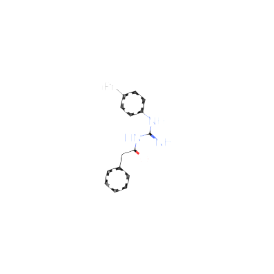 CC(C)c1ccc(NC(=N)NC(=O)Cc2ccccc2)cc1